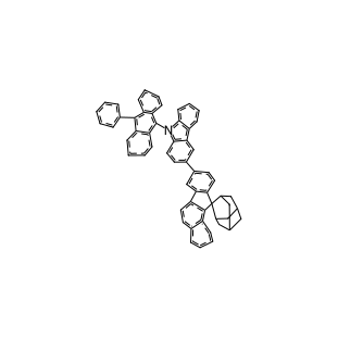 c1ccc(-c2c3ccccc3c(-n3c4ccccc4c4cc(-c5ccc6c(c5)-c5ccc7ccccc7c5C65C6CC7CC(C6)CC5C7)ccc43)c3ccccc23)cc1